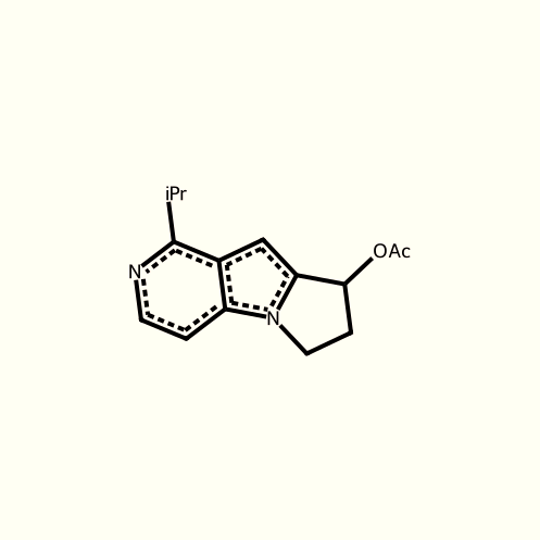 CC(=O)OC1CCn2c1cc1c(C(C)C)nccc12